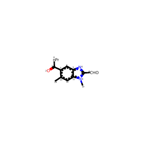 CCCC(=O)c1cc2nc(C=O)n(C)c2cc1C